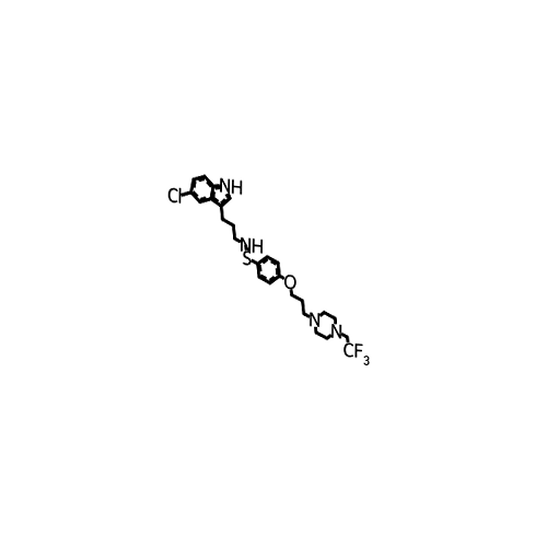 FC(F)(F)CN1CCN(CCCOc2ccc(SNCCCc3c[nH]c4ccc(Cl)cc34)cc2)CC1